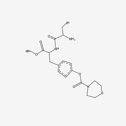 CC(C)CC(N)C(=O)NC(Cc1ccc(OC(=O)N2CCOCC2)cc1)C(=O)OC(C)(C)C